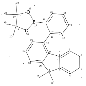 CC1(C)c2ccccc2-c2c(-c3ncccc3B3OC(C)(C)C(C)(C)O3)cccc21